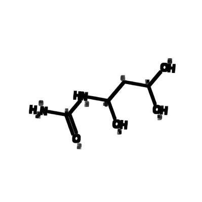 NC(=O)NC(O)CC(O)O